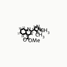 COC(=O)c1cc(-c2cnn(C)c2C)nc2ccccc12